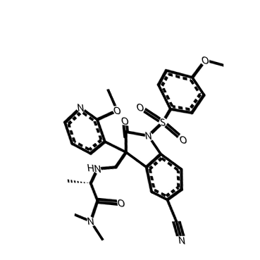 COc1ccc(S(=O)(=O)N2C(=O)C(CN[C@@H](C)C(=O)N(C)C)(c3cccnc3OC)c3cc(C#N)ccc32)cc1